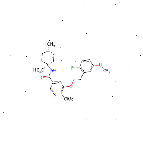 COc1ncc(C(=O)N[C@]2(C(=O)O)CC[C@@H](C)CC2)cc1OCCc1cc(OC(F)(F)F)ccc1F